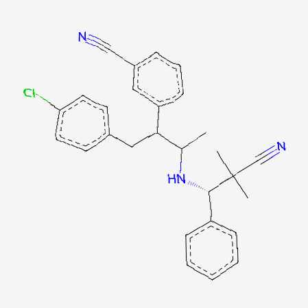 CC(N[C@@H](c1ccccc1)C(C)(C)C#N)C(Cc1ccc(Cl)cc1)c1cccc(C#N)c1